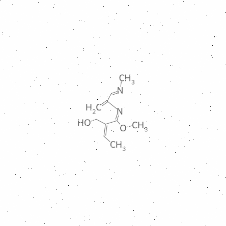 C=C(/C=N/C)/N=C(OC)\C(=C/C)CO